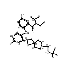 CCN(C(=O)c1cc(F)ccc1Oc1cnc(C)nc1N1CC2(CCN(C(=O)OC(C)(C)C)CC2)C1)C(C)C